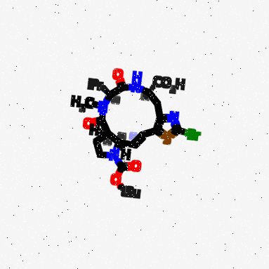 CC(C)[C@H]1C(=O)N[C@H](C(=O)O)Cc2nc(Br)sc2/C=C/[C@@H]2[C@H](CCN2C(=O)OC(C)(C)C)C(=O)N1C